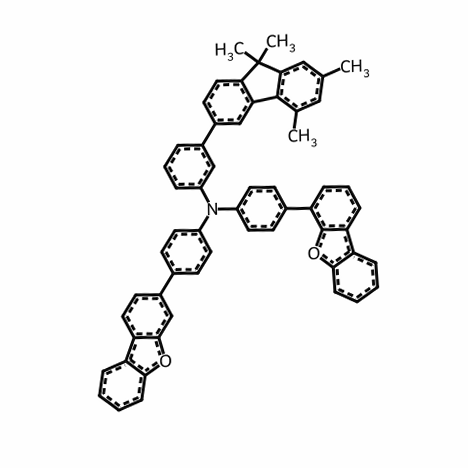 Cc1cc(C)c2c(c1)C(C)(C)c1ccc(-c3cccc(N(c4ccc(-c5ccc6c(c5)oc5ccccc56)cc4)c4ccc(-c5cccc6c5oc5ccccc56)cc4)c3)cc1-2